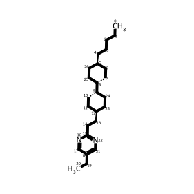 CCCCC[C@H]1CC[C@H]([C@H]2CC[C@H](CCc3ncc(CC)cn3)CC2)CC1